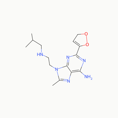 Cc1nc2c(N)nc(C3=CCOO3)nc2n1CCNCC(C)C